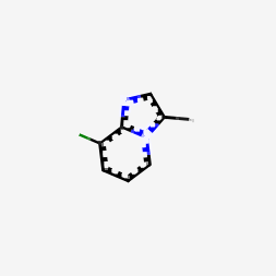 CC(C)c1cnc2c(F)cccn12